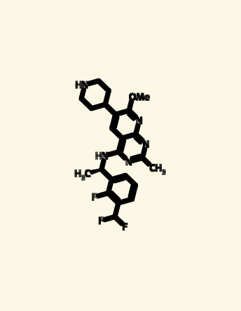 COc1nc2nc(C)nc(N[C@H](C)c3cccc(C(F)F)c3F)c2cc1C1CCNCC1